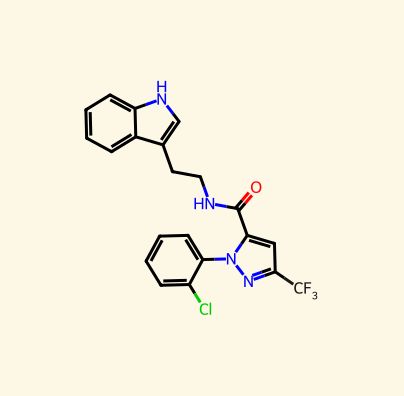 O=C(NCCc1c[nH]c2ccccc12)c1cc(C(F)(F)F)nn1-c1ccccc1Cl